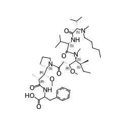 CCCCCN(C)[C@H](C(=O)N[C@H](C(=O)N(C)[C@@H]([C@@H](C)CC)[C@@H](CC(=O)N1CCC[C@H]1[C@H](OC)[C@@H](C)C(=O)NC(Cc1ccccc1)C(=O)O)OC)C(C)C)C(C)C